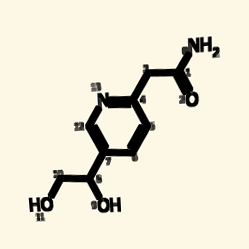 NC(=O)Cc1ccc(C(O)CO)cn1